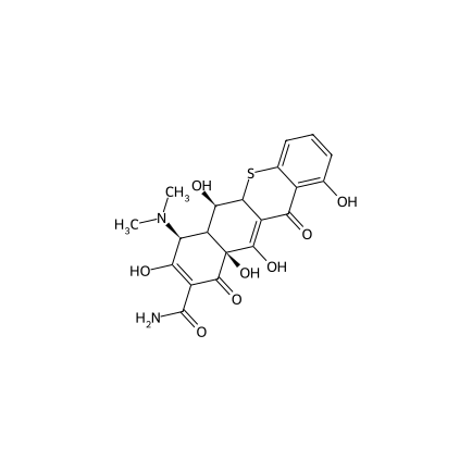 CN(C)[C@@H]1C(O)=C(C(N)=O)C(=O)[C@@]2(O)C(O)=C3C(=O)c4c(O)cccc4SC3[C@H](O)C12